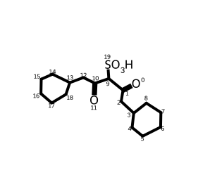 O=C(CC1CCCCC1)C(C(=O)CC1CCCCC1)S(=O)(=O)O